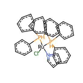 [Cl][Ru]([n]1cccc1)([PH](c1ccccc1)(c1ccccc1)c1ccccc1)[PH](c1ccccc1)(c1ccccc1)c1ccccc1